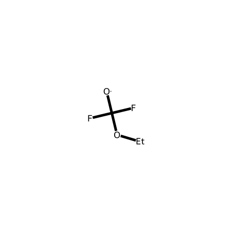 CCOC([O])(F)F